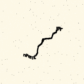 [CH2]C(C)CCCCCCCCCCCC